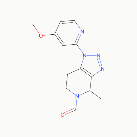 COc1ccnc(-n2nnc3c2CCN(C=O)C3C)c1